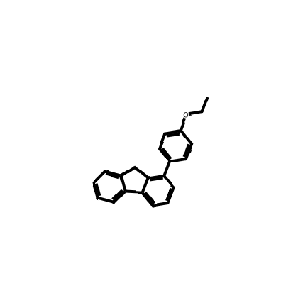 CCOc1ccc(-c2cccc3c2Cc2ccccc2-3)cc1